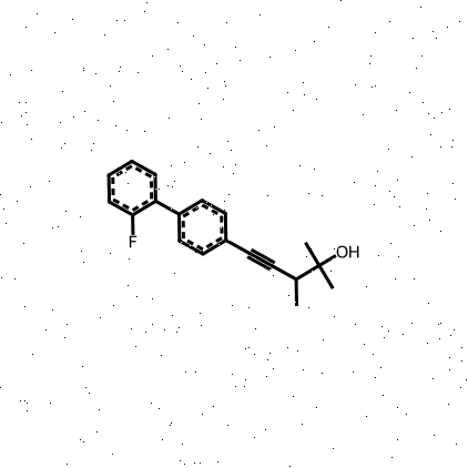 CC(C#Cc1ccc(-c2ccccc2F)cc1)C(C)(C)O